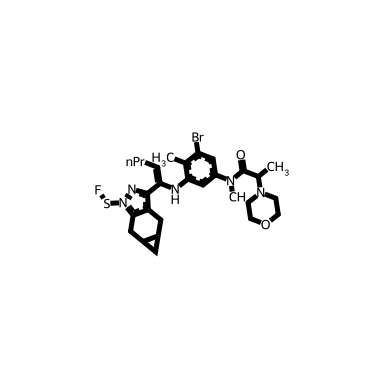 CCC/C=C(/Nc1cc(N(C)C(=O)C(C)N2CCOCC2)cc(Br)c1C)c1nn(SF)c2c1CC1CC1C2